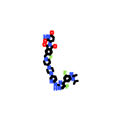 Cc1nc2c(F)cc(-c3nc(Nc4ccc(N5CCN(C6CCN(Cc7cc8c(cc7F)C(=O)N(C7CCC(=O)NC7=O)C8=O)CC6)CC5)cn4)ncc3F)cc2n1C(C)C